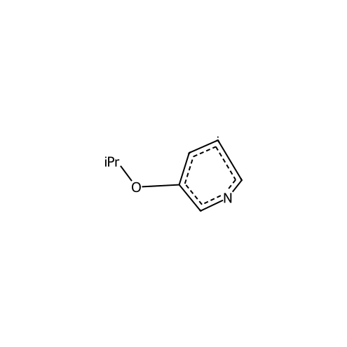 CC(C)Oc1c[c]cnc1